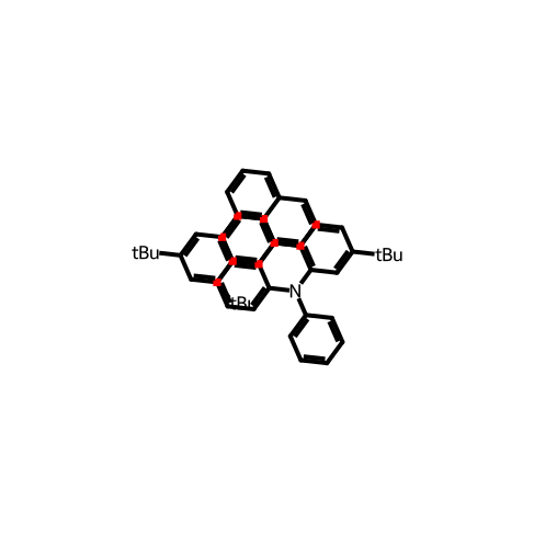 CC(C)(C)c1cc(-c2cccc3cccc(-c4ccccc4N(c4ccccc4)c4cc(C(C)(C)C)ccc4-c4ccccc4)c23)cc(C(C)(C)C)c1